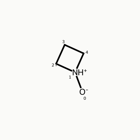 [O-][NH+]1[CH]CC1